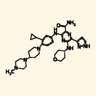 CN1CCN(C2CCN(c3ccc(Nc4nc(NC5CCOCC5)c(-c5cc[nH]n5)nc4C(N)=O)cc3C3CC3)CC2)CC1